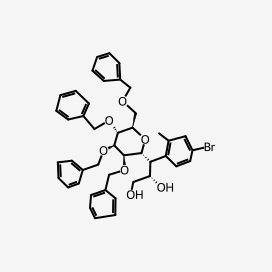 Cc1cc(Br)ccc1C([C@H](O)CO)[C@H]1O[C@H](COCc2ccccc2)[C@@H](OCc2ccccc2)[C@H](OCc2ccccc2)[C@@H]1OCc1ccccc1